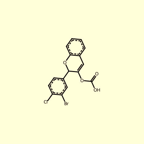 O=C(O)OC1=Cc2ccccc2OC1c1ccc(Cl)c(Br)c1